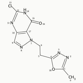 Cc1nnc(CCn2ncc3nc(Cl)[nH]c(=O)c32)o1